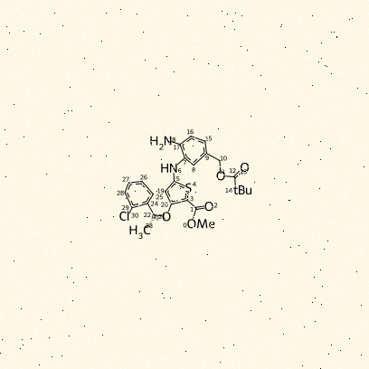 COC(=O)c1sc(Nc2cc(COC(=O)C(C)(C)C)ccc2N)cc1O[C@H](C)c1ccccc1Cl